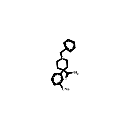 COc1cccc(C2(C(N)=O)CCN(Cc3ccccc3)CC2)c1